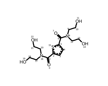 O=C(c1ccc(C(=O)N(CCO)CCO)s1)N(CCO)CCO